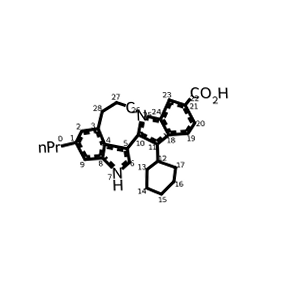 CCCc1cc2c3c(c[nH]c3c1)-c1c(C3CCCCC3)c3ccc(C(=O)O)cc3n1CCC2